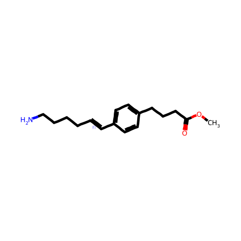 COC(=O)CCCc1ccc(/C=C/CCCCN)cc1